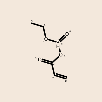 C=CC(=O)O[PH](=O)OCC